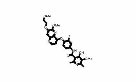 COCCOc1cc2nccc(Oc3ccc(NC(=O)c4c(C)nc(C)c(OC)c4O)cc3F)c2nc1OC